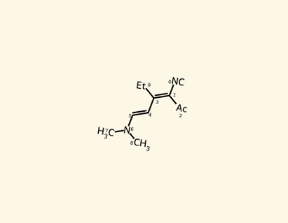 [C-]#[N+]/C(C(C)=O)=C(/C=C/N(C)C)CC